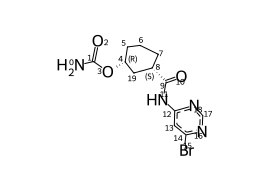 NC(=O)O[C@@H]1CCC[C@H](C(=O)Nc2cc(Br)ncn2)C1